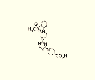 CS(=O)(=O)c1ccccc1N1CCN(c2ncnc(N3CCC(C(=O)O)CC3)n2)CC1